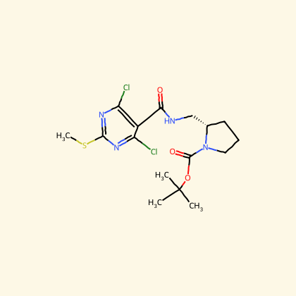 CSc1nc(Cl)c(C(=O)NC[C@@H]2CCCN2C(=O)OC(C)(C)C)c(Cl)n1